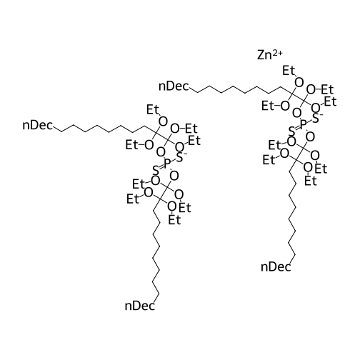 CCCCCCCCCCCCCCCCCCC(OCC)(OCC)C(OCC)(OCC)OP(=S)([S-])OC(OCC)(OCC)C(CCCCCCCCCCCCCCCCCC)(OCC)OCC.CCCCCCCCCCCCCCCCCCC(OCC)(OCC)C(OCC)(OCC)OP(=S)([S-])OC(OCC)(OCC)C(CCCCCCCCCCCCCCCCCC)(OCC)OCC.[Zn+2]